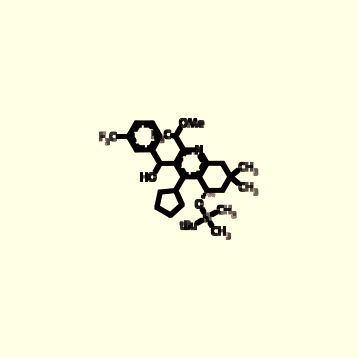 COC(C)c1nc2c(c(C3CCCC3)c1C(O)c1cccc(C(F)(F)F)c1)[C@@H](O[Si](C)(C)C(C)(C)C)CC(C)(C)C2